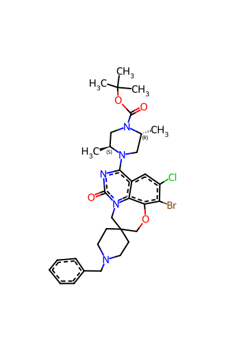 C[C@@H]1CN(c2nc(=O)n3c4c(c(Br)c(Cl)cc24)OCC2(CCN(Cc4ccccc4)CC2)C3)[C@@H](C)CN1C(=O)OC(C)(C)C